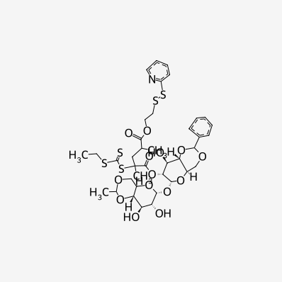 CCSC(=S)SC(C)(CC(C)C(=O)OCCSSc1ccccn1)C(=O)O[C@H]1[C@@H](O[C@H]2O[C@@H]3COC(C)O[C@H]3[C@H](O)[C@H]2O)O[C@@H]2COC(c3ccccc3)O[C@H]2[C@@H]1O